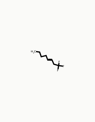 [CH2]CCCC=CCC(F)(F)F